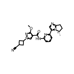 COc1nn(C2CC(C#N)C2)cc1C(=O)Nc1cccc(-c2cnc3n2[C@@H](C)CC3)n1